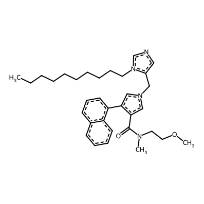 CCCCCCCCCCn1cncc1Cn1cc(C(=O)N(C)CCOC)c(-c2cccc3ccccc23)c1